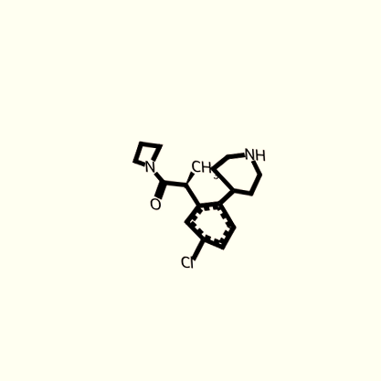 C[C@H](C(=O)N1CCC1)c1cc(Cl)ccc1C1CCNCC1